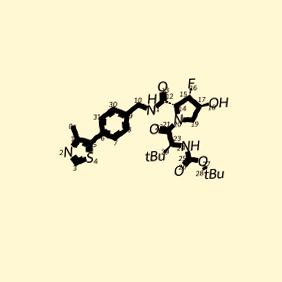 Cc1ncsc1-c1ccc(CNC(=O)[C@@H]2[C@H](F)[C@@H](O)CN2C(=O)[C@@H](NC(=O)OC(C)(C)C)C(C)(C)C)cc1